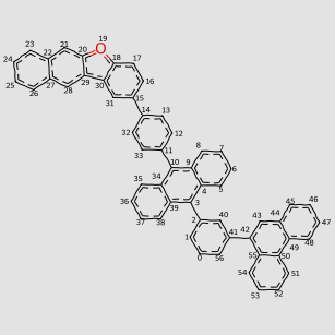 c1cc(-c2c3ccccc3c(-c3ccc(-c4ccc5oc6cc7ccccc7cc6c5c4)cc3)c3ccccc23)cc(-c2cc3ccccc3c3ccccc23)c1